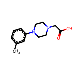 Cc1cccc(N2CCN(CC(=O)O)CC2)c1